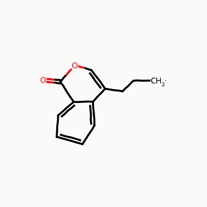 [CH2]CCc1coc(=O)c2ccccc12